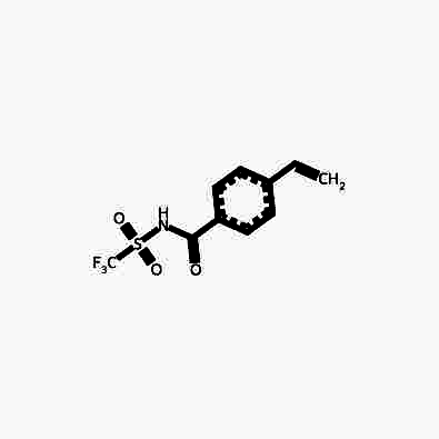 C=Cc1ccc(C(=O)NS(=O)(=O)C(F)(F)F)cc1